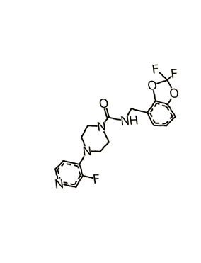 O=C(NCc1cccc2c1OC(F)(F)O2)N1CCN(c2ccncc2F)CC1